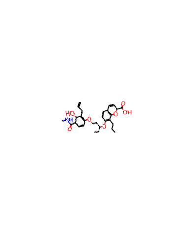 C=CCC1=C(OCCC(CC)Oc2ccc3c(c2CCC)OC(C(=O)O)C=C3)C=CC(C(=O)NC)C1O